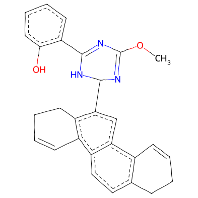 COC1=NC(c2cc3c4c(ccc3c3c2CCC=C3)CCC=C4)NC(c2ccccc2O)=N1